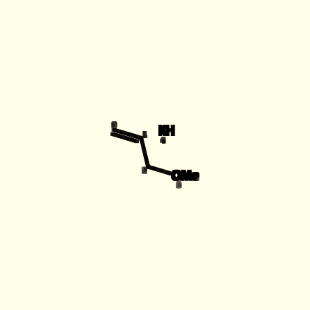 C=CCOC.[KH]